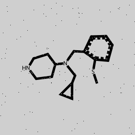 CSc1ccccc1CN(CC1CC1)C1CCNCC1